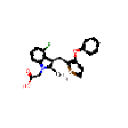 Cc1c(Cc2sccc2Oc2ccccc2)c2c(F)cccc2n1CC(=O)O